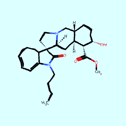 CCCCN1C(=O)[C@@]2(CCN3C[C@@H]4CC[C@H](O)[C@H](C(=O)OC)[C@H]4C[C@H]32)C2CC=CC=C21